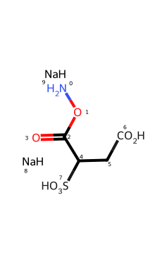 NOC(=O)C(CC(=O)O)S(=O)(=O)O.[NaH].[NaH]